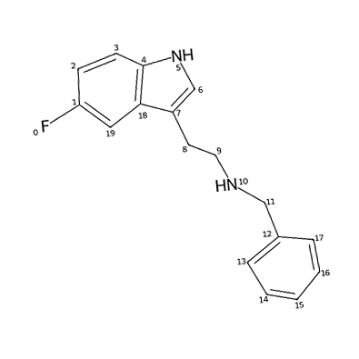 Fc1ccc2[nH]cc(CCNCc3ccccc3)c2c1